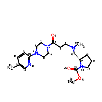 CN(CCC(=O)N1CCN(c2ccc(C#N)cn2)CC1)C[C@@H]1CCCN1C(=O)OC(C)(C)C